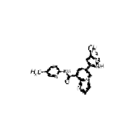 Cc1ccc(NC(=O)c2cc(-c3cc(C)n[nH]3)cn3ccnc23)nc1